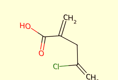 C=C(Cl)CC(=C)C(=O)O